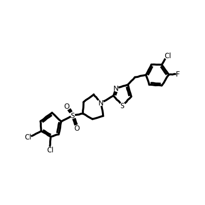 O=S(=O)(c1ccc(Cl)c(Cl)c1)C1CCN(c2nc(Cc3ccc(F)c(Cl)c3)cs2)CC1